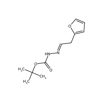 CC(C)(C)OC(=O)NN=CCc1ccco1